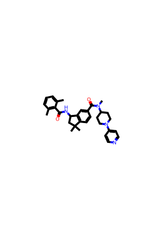 Cc1cccc(C)c1C(=O)NC1CC(C)(C)c2ccc(C(=O)N(C)C3CCN(c4ccncc4)CC3)cc21